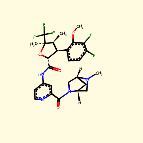 COc1c([C@H]2[C@H](C(=O)Nc3ccnc(C(=O)N4C[C@H]5C[C@@H]4CN5C)c3)O[C@@](C)(C(F)(F)F)[C@H]2C)ccc(F)c1F